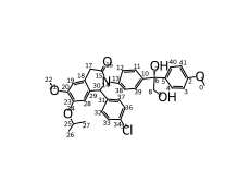 COc1ccc([C@](O)(CO)c2ccc(N3C(=O)Cc4cc(OC)c(OC(C)C)cc4C3c3ccc(Cl)cc3)cc2)cc1